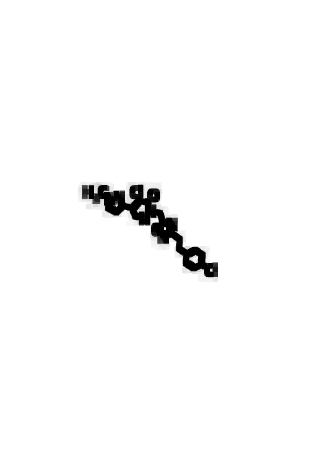 Cn1ccc(-c2cnn(Cc3nc(CCc4ccc(Cl)cc4)no3)c(=O)c2Cl)n1